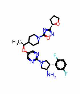 C[C@H](Oc1cnc(N2C[C@H](c3cc(F)ccc3F)[C@@H](N)C2)nc1)C1CCN(c2nc([C@H]3CCCO3)no2)CC1